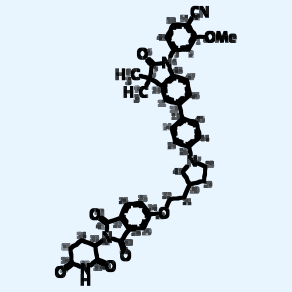 COc1cc(N2C(=O)C(C)(C)c3cc(-c4ccc(N5CCC(CCOc6ccc7c(c6)C(=O)N(C6CCC(=O)NC6=O)C7=O)C5)cc4)ccc32)ccc1C#N